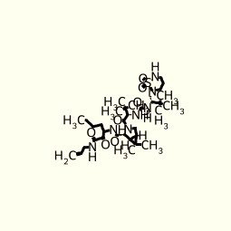 C=CCNC(=O)C(=O)C(CCCC)NC(=O)[C@@H]1[C@@H]2[C@H](CN1C(=O)[C@@H](NC(=O)N[C@H](CN1CCCNS1(=O)=O)C(C)(C)C)C(C)(C)C)C2(C)C